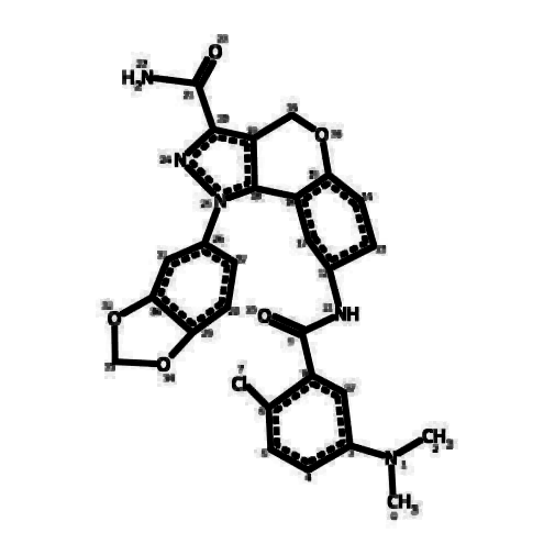 CN(C)c1ccc(Cl)c(C(=O)Nc2ccc3c(c2)-c2c(c(C(N)=O)nn2-c2ccc4c(c2)OCO4)CO3)c1